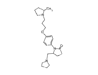 CC1CCCN1CCCOc1ccc(N2C(=O)CCC2CN2CCCC2)cc1